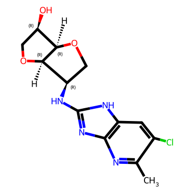 Cc1nc2nc(N[C@@H]3CO[C@H]4[C@@H]3OC[C@H]4O)[nH]c2cc1Cl